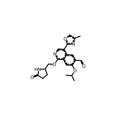 Cc1coc(-c2cnc(OCC3CCC(=O)N3)c3cc(OC(C)C)c(C=O)cc23)n1